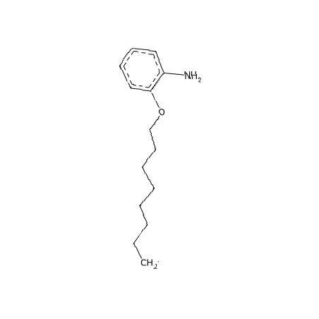 [CH2]CCCCCCCOc1ccccc1N